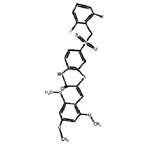 COc1cc(OC)c(/C=C2/Sc3cc(S(=O)(=O)Cc4c(F)cccc4F)ccc3NC2=O)c(OC)c1